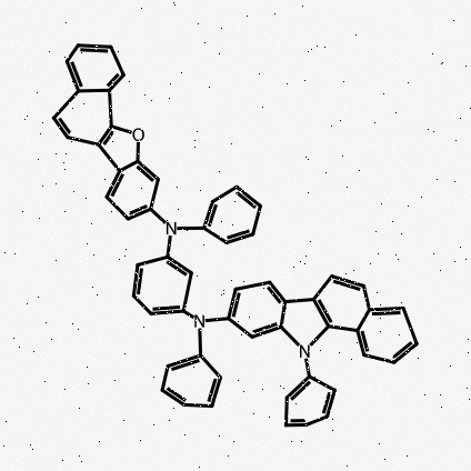 c1ccc(N(c2cccc(N(c3ccccc3)c3ccc4c5ccc6ccccc6c5n(-c5ccccc5)c4c3)c2)c2ccc3c(c2)oc2c4ccccc4ccc32)cc1